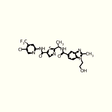 Cc1nc2cc(C(=O)N[C@H](C)c3ncc(C(=O)Nc4cc(C(F)(F)F)c(Cl)cn4)s3)ccc2n1CCO